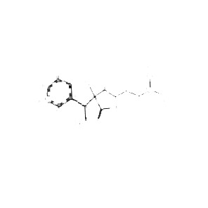 Cl.Cl.NC(CCCCB(O)O)(C(=O)O)C(O)c1cccnc1